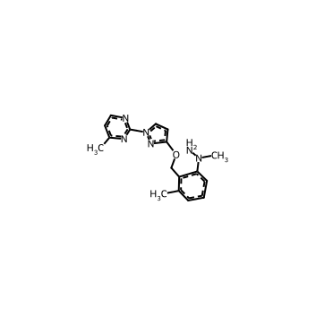 Cc1ccnc(-n2ccc(OCc3c(C)cccc3N(C)N)n2)n1